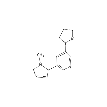 CN1CC=CC1c1cncc(C2CCC=N2)c1